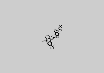 CC(C)(C)OC(=O)n1ncc2cc(NC(=O)OC(c3cccc(C(F)(F)F)c3)[C@@H]3CCCCN3C(=O)O)ccc21